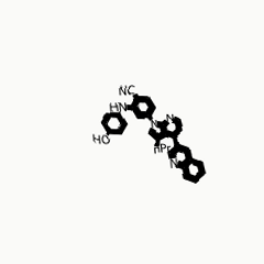 CCCc1cn(-c2ccc(C#N)c(N[C@H]3CC[C@H](O)CC3)c2)c2nccc(-c3cnc4ccccc4c3)c12